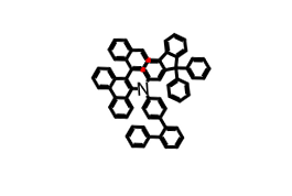 c1ccc(-c2ccccc2-c2ccc(N(c3ccc4c(c3)C(c3ccccc3)(c3ccccc3)c3ccccc3-4)c3c(-c4cccc5ccccc45)c4ccccc4c4ccccc34)cc2)cc1